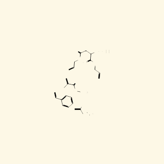 C=C(C)C(=O)OCCCC.C=C(C)C(=O)[O-].C=CCOC(=O)CC(C(=O)OCC=C)S(=O)(=O)O.C=Cc1ccccc1.[Na+]